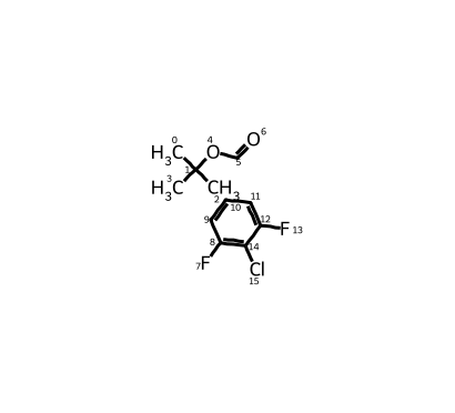 CC(C)(C)OC=O.Fc1cccc(F)c1Cl